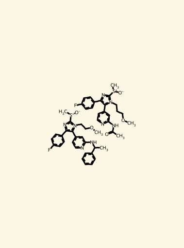 COCCCn1c([S+](C)[O-])nc(-c2ccc(F)cc2)c1-c1ccnc(NC(C)=O)c1.COCCn1c([S+](C)[O-])nc(-c2ccc(F)cc2)c1-c1ccnc(NC(C)c2ccccc2)c1